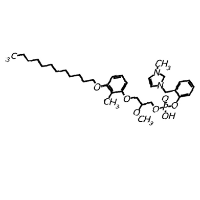 CCCCCCCCCCCCOc1cccc(OCC(COP(=O)(O)Oc2ccccc2CN2C=CN(C)C2)OC)c1C